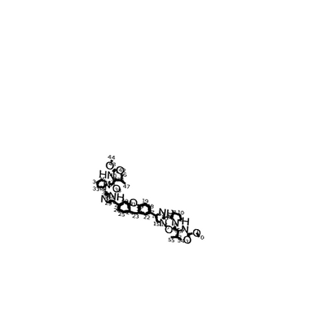 COC(=O)N[C@H](C(=O)N1CCC[C@H]1C1=NCC(c2ccc3c(c2)Cc2ccc(-c4cnc([C@@H]5CCCN5C(=O)[C@@H](NC(=O)OC)C(C)C)[nH]4)cc2O3)N1)C(C)C